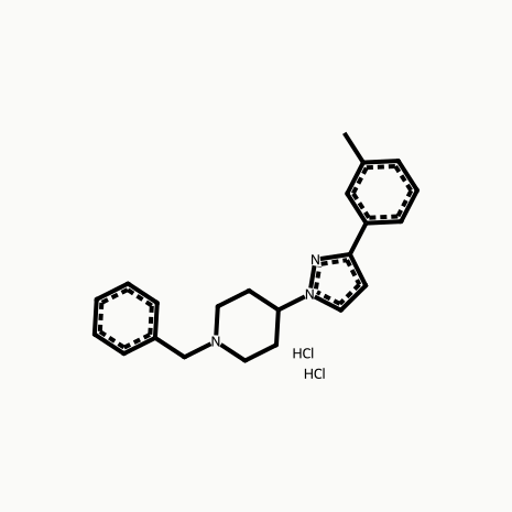 Cc1cccc(-c2ccn(C3CCN(Cc4ccccc4)CC3)n2)c1.Cl.Cl